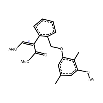 CCCOc1cc(C)cc(OCc2ccccc2/C(=C/OC)C(=O)OC)c1C